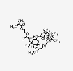 C=C(C)C(=O)OCCOC(=O)NCC1(C)CC(NC(=O)C[Si](C)(C)C[Si](C)(C)O[Si](C)(C)CCCOCCOC)CC(C)(C)C1